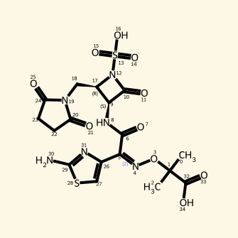 CC(C)(O/N=C(\C(=O)N[C@@H]1C(=O)N(S(=O)(=O)O)[C@@H]1CN1C(=O)CCC1=O)c1csc(N)n1)C(=O)O